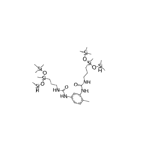 Cc1ccc(NC(=O)NCCC[Si](C)(O[SiH](C)C)O[Si](C)(C)C)cc1NC(=O)NCCC[Si](C)(O[SiH](C)C)O[Si](C)(C)C